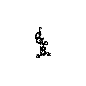 CC1c2cc(F)ccc2CCN1C(=O)c1cc2c(Br)cc(Br)cn2n1